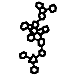 c1ccc(-c2nc(-c3ccccc3)nc(-c3cccc(-c4ccc(-n5c6ccccc6c6ccccc65)c(-c5cccc(-n6c7ccccc7c7cc(-c8ccc9c(c8)c8ccccc8n9-c8ccccc8)ccc76)c5)c4)c3)n2)cc1